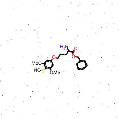 COc1cc(OCCCC(N)C(=O)OCc2ccccc2)cc(OC)c1SC#N